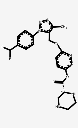 Cc1nnn(-c2ccc(C(F)F)cc2)c1COc1ccc(OC(=O)[C@H]2CNCCN2)nn1